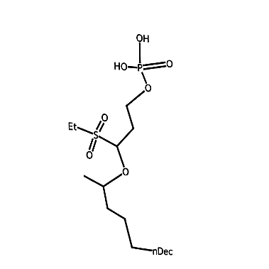 CCCCCCCCCCCCCC(C)OC(CCOP(=O)(O)O)S(=O)(=O)CC